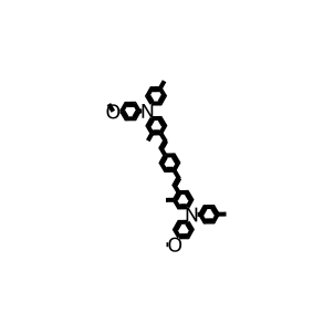 COc1ccc(N(c2ccc(C)cc2)c2ccc(C=Cc3ccc(C=Cc4ccc(N(c5ccc(C)cc5)c5ccc(OC)cc5)cc4C)cc3)c(C)c2)cc1